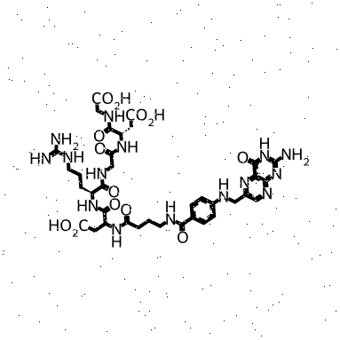 N=C(N)NCCC[C@H](NC(=O)C(CC(=O)O)NC(=O)CCCNC(=O)c1ccc(NCc2cnc3nc(N)[nH]c(=O)c3n2)cc1)C(=O)NCC(=O)N[C@@H](CC(=O)O)C(=O)NCC(=O)O